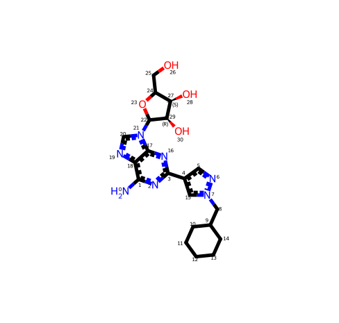 Nc1nc(-c2cnn(CC3CCCCC3)c2)nc2c1ncn2C1OC(CO)[C@@H](O)[C@H]1O